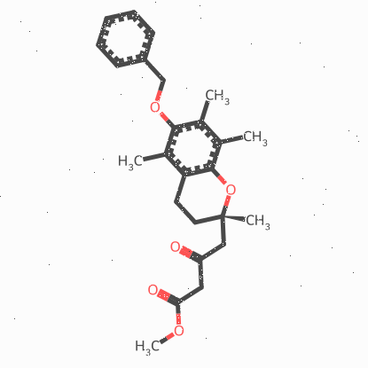 COC(=O)CC(=O)C[C@]1(C)CCc2c(C)c(OCc3ccccc3)c(C)c(C)c2O1